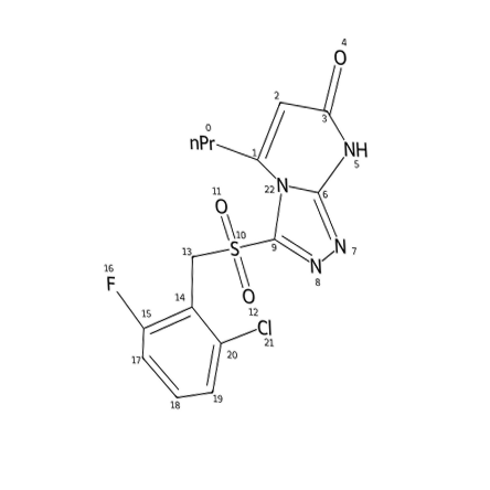 CCCc1cc(=O)[nH]c2nnc(S(=O)(=O)Cc3c(F)cccc3Cl)n12